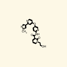 Cn1cc(-c2cc(Oc3ccc(NC(=O)c4cccn(CCO)c4=O)nc3)ccn2)cn1